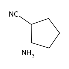 N.N#CC1CCCC1